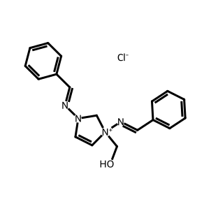 OC[N+]1(N=Cc2ccccc2)C=CN(N=Cc2ccccc2)C1.[Cl-]